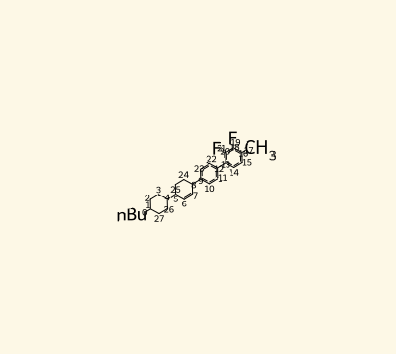 CCCCC1CCC(C2C=CC(c3ccc(-c4ccc(C)c(F)c4F)cc3)CC2)CC1